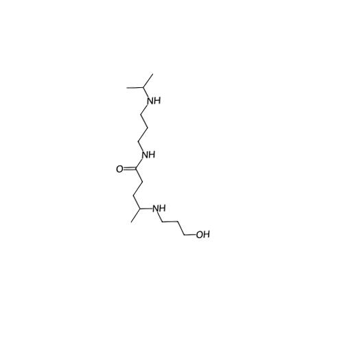 CC(C)NCCCNC(=O)CCC(C)NCCCO